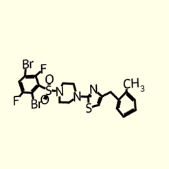 Cc1ccccc1Cc1csc(N2CCN(S(=O)(=O)c3c(F)c(Br)cc(F)c3Br)CC2)n1